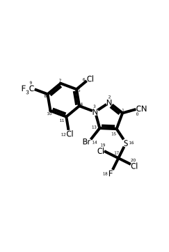 N#Cc1nn(-c2c(Cl)cc(C(F)(F)F)cc2Cl)c(Br)c1SC(F)(Cl)Cl